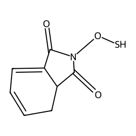 O=C1C2=CC=CCC2C(=O)N1OS